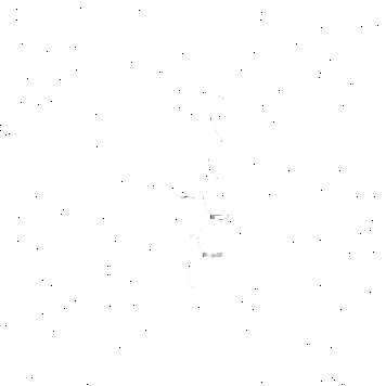 NCCCC[C@H](N)C(=O)NC(=O)CI